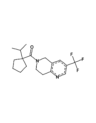 CC(C)C1(C(=O)N2CCc3ncc(C(F)(F)F)cc3C2)CCCC1